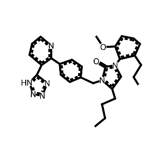 CCCCc1cn(-c2c(CCC)cccc2OC)c(=O)n1Cc1ccc(-c2ncccc2-c2nnn[nH]2)cc1